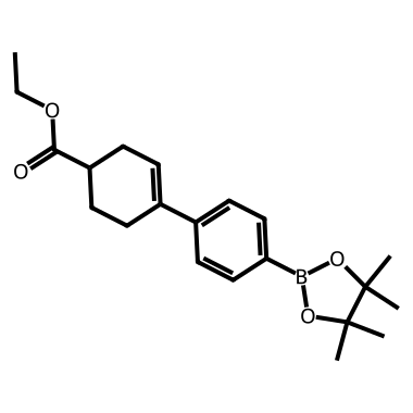 CCOC(=O)C1CC=C(c2ccc(B3OC(C)(C)C(C)(C)O3)cc2)CC1